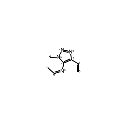 C=Cc1nnn(C)c1/N=C\C